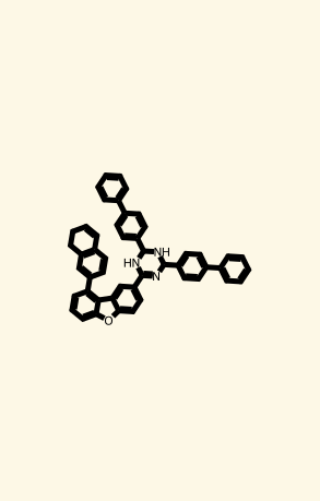 C1=Cc2ccc(-c3cccc4oc5ccc(C6=NC(c7ccc(-c8ccccc8)cc7)NC(c7ccc(-c8ccccc8)cc7)N6)cc5c34)cc2CC1